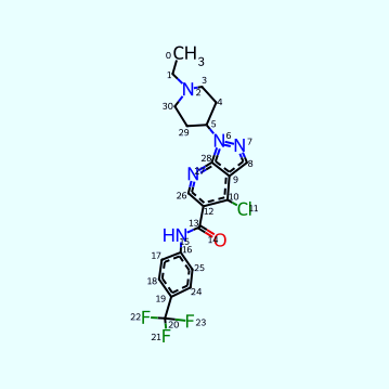 CCN1CCC(n2ncc3c(Cl)c(C(=O)Nc4ccc(C(F)(F)F)cc4)cnc32)CC1